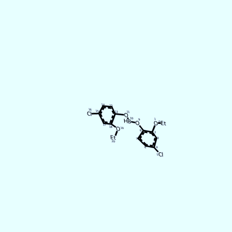 CCOc1cc(Cl)ccc1OBOc1ccc(Cl)cc1OCC